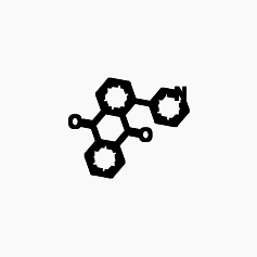 O=C1c2ccccc2C(=O)c2c1cccc2-c1cccnc1